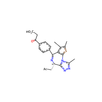 CC(=O)C[C@@H]1N=C(c2ccc(C(=O)CC(=O)O)cc2)c2c(sc(C)c2C)-n2c(C)nnc21